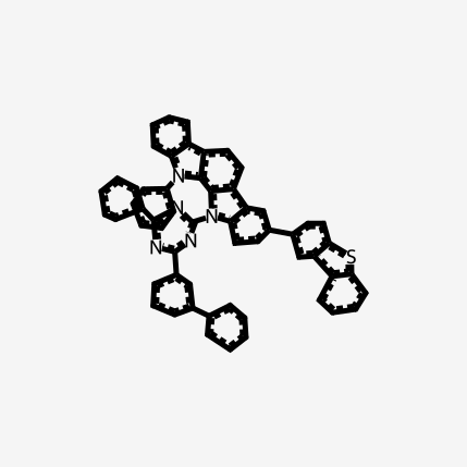 c1ccc(-c2cccc(-c3nc(-c4ccccc4)nc(-n4c5ccc(-c6ccc7sc8ccccc8c7c6)cc5c5ccc6c7ccccc7n(-c7ccccc7)c6c54)n3)c2)cc1